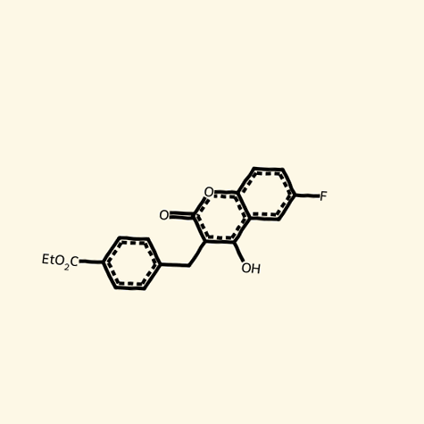 CCOC(=O)c1ccc(Cc2c(O)c3cc(F)ccc3oc2=O)cc1